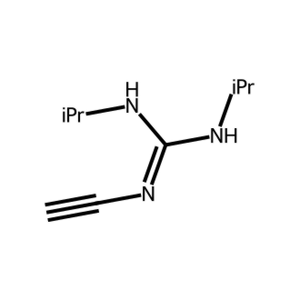 C#CN=C(NC(C)C)NC(C)C